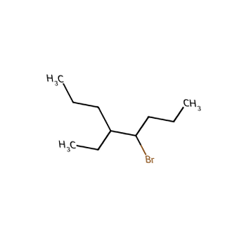 CCCC(Br)C(CC)CCC